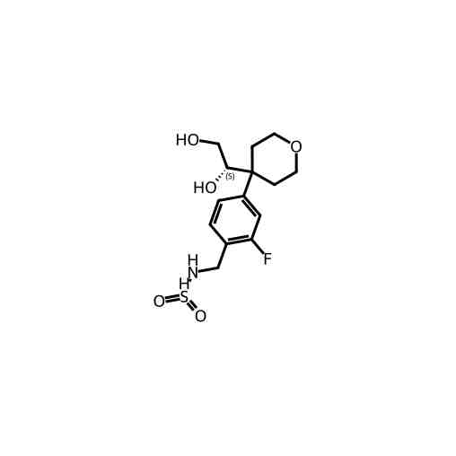 O=[SH](=O)NCc1ccc(C2([C@H](O)CO)CCOCC2)cc1F